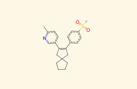 Cc1ccc(C2=C(c3ccc(S(C)(=O)=O)cc3)CC3(CCCC3)C2)cn1